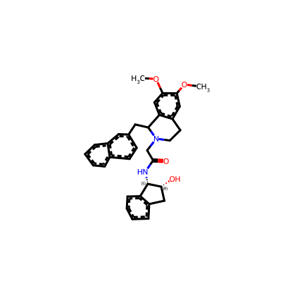 COc1cc2c(cc1OC)C(Cc1ccc3ccccc3c1)N(CC(=O)N[C@H]1c3ccccc3C[C@H]1O)CC2